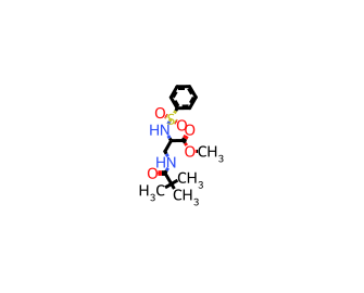 COC(=O)C(CNC(=O)C(C)(C)C)NS(=O)(=O)c1ccccc1